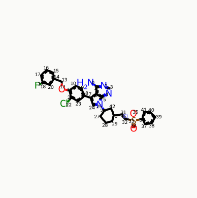 Nc1ncnc2c1c(-c1ccc(OCc3cccc(F)c3)c(Cl)c1)cn2C1CCCC(/C=C/S(=O)(=O)c2ccccc2)C1